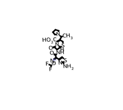 CC(C1=C(C(=O)O)N2C(=O)C(NC(=O)/C(=N/OC(F)F)c3csc(N)n3)[C@H]2SC1)N1CCCC1